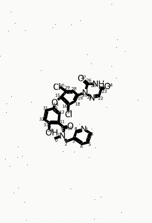 CN(Cc1cccnc1)C(=O)c1cc(Oc2c(Cl)cc(-n3ncc(=O)[nH]c3=O)cc2Cl)ccc1O